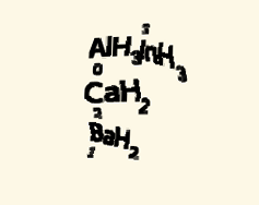 [AlH3].[BaH2].[CaH2].[InH3]